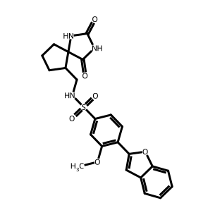 COc1cc(S(=O)(=O)NCC2CCCC23NC(=O)NC3=O)ccc1-c1cc2ccccc2o1